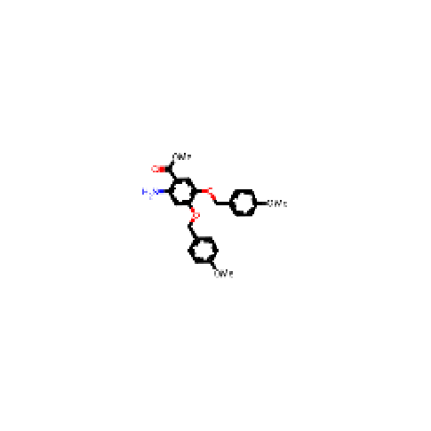 COC(=O)c1cc(OCc2ccc(OC)cc2)c(OCc2ccc(OC)cc2)cc1N